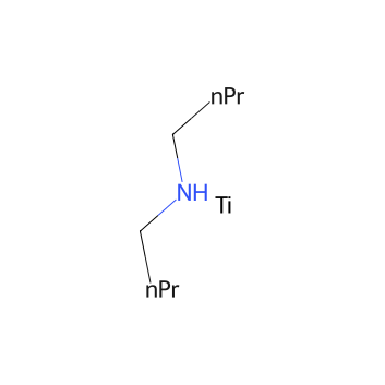 CCCCNCCCC.[Ti]